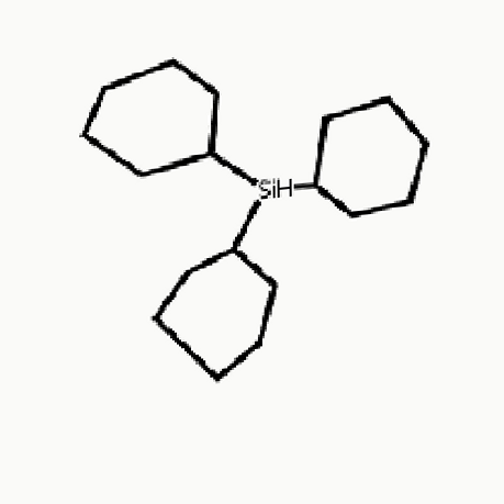 C1CCC([SiH](C2CCCCC2)C2CCCCC2)CC1